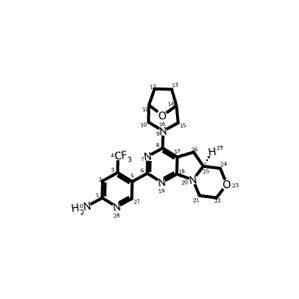 Nc1cc(C(F)(F)F)c(-c2nc(N3CC4CCC(C3)O4)c3c(n2)N2CCOC[C@@H]2C3)cn1